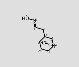 ON=CCC1CN2CCC1CC2